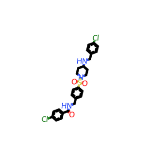 O=C(NCc1ccc(S(=O)(=O)N2CCC(NCc3ccc(Cl)cc3)CC2)cc1)c1ccc(Cl)cc1